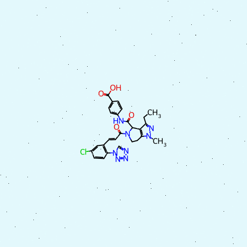 CCc1nn(C)c2c1C(C(=O)Nc1ccc(C(=O)O)cc1)N(C(=O)/C=C/c1cc(Cl)ccc1-n1cnnn1)CC2